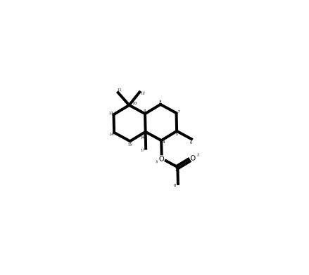 CC(=O)OC1C(C)CCC2C(C)(C)CCCC12C